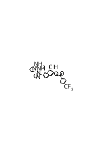 Cl.N=C(N)N1CCC[C@H]1c1nc(-c2ccc3cc(OCC(=O)c4ccc(C(F)(F)F)cc4)ccc3c2)no1